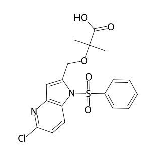 CC(C)(OCc1cc2nc(Cl)ccc2n1S(=O)(=O)c1ccccc1)C(=O)O